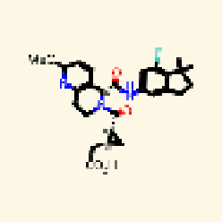 COc1ccc2c(n1)CCN(C(=O)[C@@H]1C[C@H]1CC(=O)O)[C@H]2C(=O)Nc1cc(F)c2c(c1)CCC2(C)C